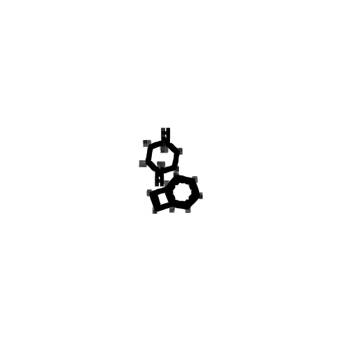 C1=Cc2ccccc21.C1CNCCN1